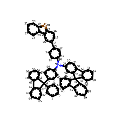 c1ccc(C2(c3ccc(N(c4ccc(-c5ccc6sc7ccccc7c6c5)cc4)c4ccc5c(c4)C4(c6ccccc6-c6ccccc64)c4ccccc4-5)cc3)c3ccccc3-c3ccccc32)cc1